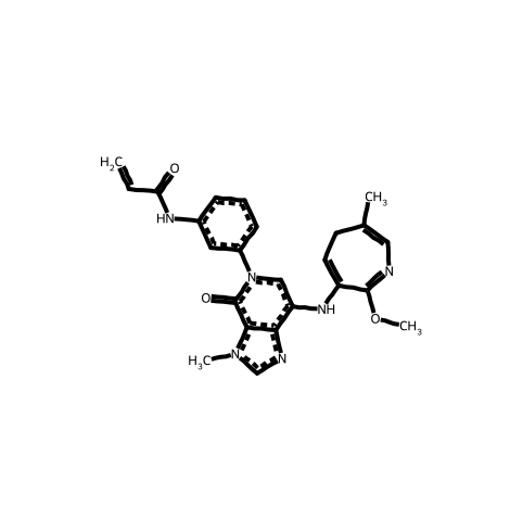 C=CC(=O)Nc1cccc(-n2cc(NC3=CCC(C)=CN=C3OC)c3ncn(C)c3c2=O)c1